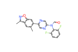 Cc1cc2c(C)noc2cc1-c1cnc(N(C=O)c2c(F)cccc2F)cn1